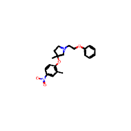 Cc1cc([N+](=O)[O-])ccc1OC1(C)CCN(CCOc2ccccc2)C1